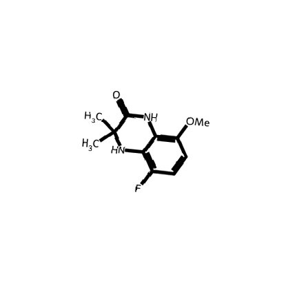 COc1ccc(F)c2c1NC(=O)C(C)(C)N2